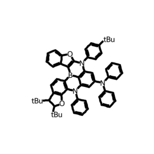 CC(C)(C)c1ccc(N2c3cc(N(c4ccccc4)c4ccccc4)cc4c3B(c3ccc5c(c3N4c3ccccc3)OC(C(C)(C)C)C5C(C)(C)C)c3c2oc2ccccc32)cc1